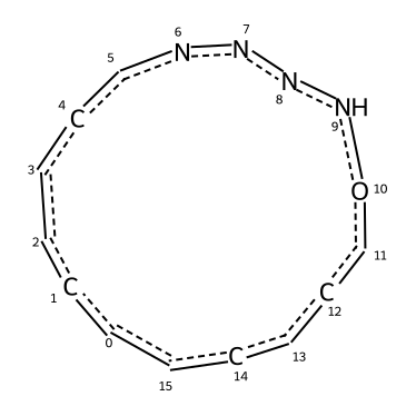 c1cccccnnn[nH]occccc1